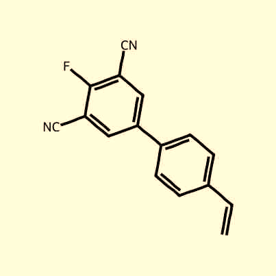 C=Cc1ccc(-c2cc(C#N)c(F)c(C#N)c2)cc1